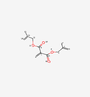 C=C(C)COC(=O)C(=C)C(=O)OCC(=C)C